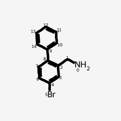 NCc1cc(Br)ccc1-c1c[c]ccc1